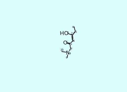 CC/C(O)=C/C(=O)CN(C)C